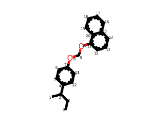 CCC(C)c1ccc(OCOc2cccc3ccccc23)cc1